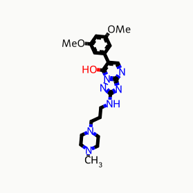 COc1cc(OC)cc(-c2cnc3nc(NCCCN4CCN(C)CC4)nn3c2O)c1